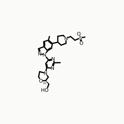 Cc1nc(N2CCO[C@H](CO)C2)cc(-n2ncc3cc(C)c(C4CCN(CCS(C)(=O)=O)CC4)cc32)n1